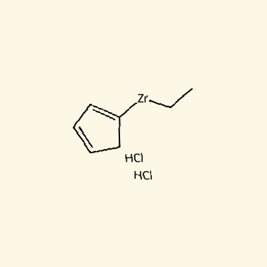 C[CH2][Zr][C]1=CC=CC1.Cl.Cl